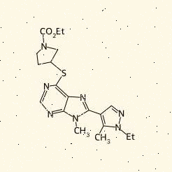 CCOC(=O)N1CCC(Sc2ncnc3c2nc(-c2cnn(CC)c2C)n3C)C1